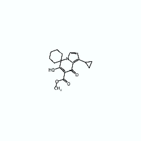 COC(=O)C1=C(O)C2(CCCCC2)n2ccc(C3CC3)c2C1=O